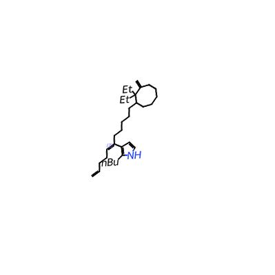 C=CCC/C=C(/CCCCCC1CCCCCC(=C)C1(CC)CC)c1cc[nH]c1CCCC